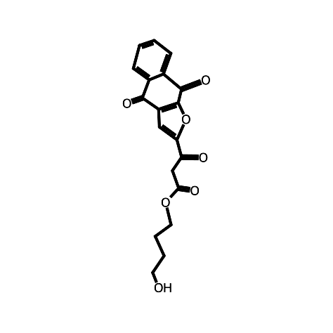 O=C(CC(=O)c1cc2c(o1)C(=O)c1ccccc1C2=O)OCCCCO